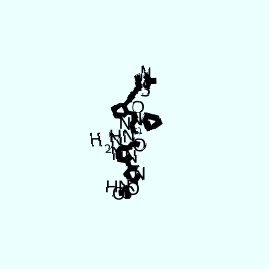 Cc1ncc(C#Cc2cccc3nc([C@H](C)NC(=O)c4nc(-c5cncc(NS(C)(=O)=O)c5)cnc4N)n(-c4ccccc4)c(=O)c23)s1